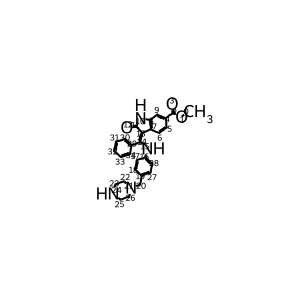 COC(=O)c1ccc2c(c1)NC(=O)C2=C(Nc1ccc(CN2CCNCC2)cc1)c1ccccc1